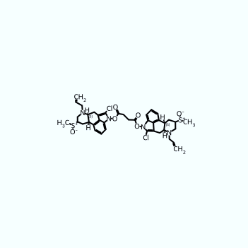 C=CCN1CC([S+](C)[O-])C[C@H]2c3cccc4c3c(c(Cl)n4OC(=O)CCC(=O)On3c(Cl)c4c5c(cccc53)[C@@H]3CC([S+](C)[O-])CN(CC=C)[C@H]3C4)C[C@@H]21